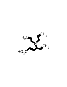 C=CCN(CC=C)C(C=C)C=CC(=O)O